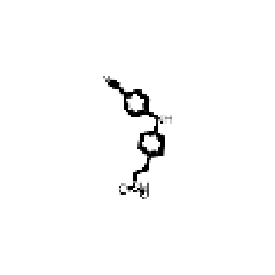 N#Cc1ccc(Nc2ccc(CC[SH](=O)=O)cc2)cc1